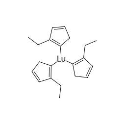 CCC1=[C]([Lu]([C]2=C(CC)C=CC2)[C]2=C(CC)C=CC2)CC=C1